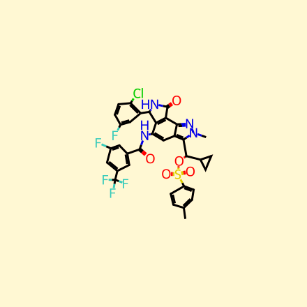 Cc1ccc(S(=O)(=O)OC(c2c3cc(NC(=O)c4cc(F)cc(C(F)(F)F)c4)c4c(c3nn2C)C(=O)NC4c2cc(F)ccc2Cl)C2CC2)cc1